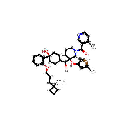 CCC[C@H]1N(C(=O)c2cnccc2C(F)(F)F)CCC[C@@]1(Oc1csc(C(F)(F)F)c1)C(=O)C1CCC(O)(c2ccccc2OCCCC2(C(=O)O)CCC2)CC1